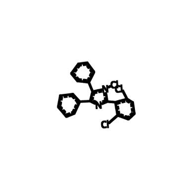 Clc1cccc(Cl)c1-c1nc(-c2ccccc2)c(-c2ccccc2)n1Cl